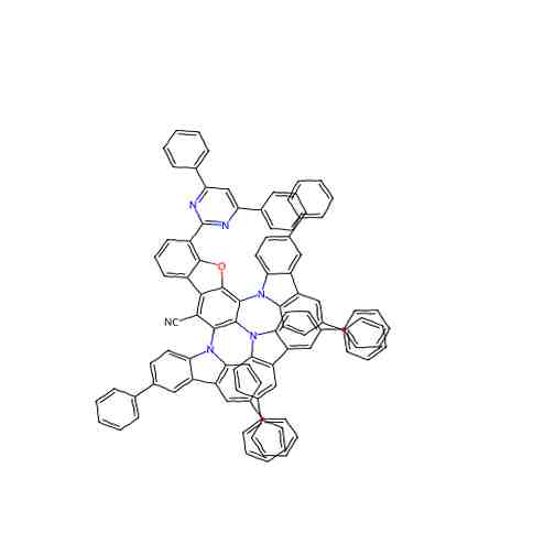 N#Cc1c(-n2c3ccc(-c4ccccc4)cc3c3cc(-c4ccccc4)ccc32)c(-n2c3ccc(-c4ccccc4)cc3c3cc(-c4ccccc4)ccc32)c(-n2c3ccc(-c4ccccc4)cc3c3cc(-c4ccccc4)ccc32)c2oc3c(-c4nc(-c5ccccc5)cc(-c5ccccc5)n4)cccc3c12